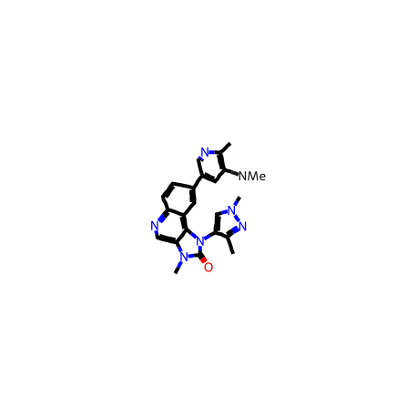 CNc1cc(-c2ccc3ncc4c(c3c2)n(-c2cn(C)nc2C)c(=O)n4C)cnc1C